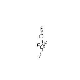 C=CCCCc1cc(F)c(C#C[C@H]2CC[C@H](C=CF)CC2)c(F)c1